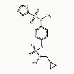 CCCN(CC1CC1)S(=O)(=O)Oc1ccc(N(C)S(=O)(=O)c2cccs2)cc1